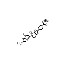 Cc1cn2cc(N3CCc4cc(C5CCN(C(=O)OC(C)(C)C)CC5)sc4C3=O)cc(F)c2n1